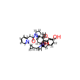 O=C(Cc1ccccn1)N1CCC[C@]12CC[C@@]1(O)[C@H]3Cc4ccc(O)c5c4[C@@]1(CCN3CC1CC1)[C@H]2O5